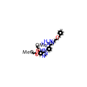 COCCOc1cc2ncnc(Nc3cccc(/C(N)=C/N(N)CCCOCc4ccccc4)c3)c2cc1OCCOC